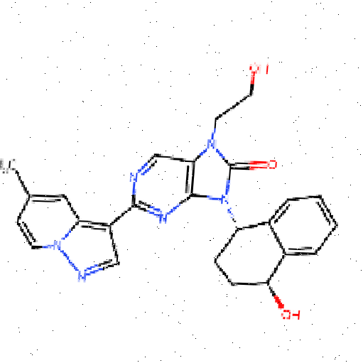 Cc1ccn2ncc(-c3ncc4c(n3)n([C@H]3CC[C@H](O)c5ccccc53)c(=O)n4CCO)c2c1